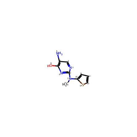 CN(c1ncc(N)c(O)n1)c1cccs1